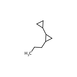 CCCC1CC1C1CC1